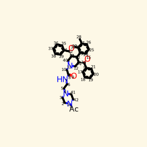 CC(=O)N1CCN(CCNC(=O)CN2C[C@H](C(=O)c3ccccc3)C(c3cccc(C)c3C)[C@@H](C(=O)c3ccccc3)C2)CC1